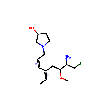 C/C=C(\C=C/CN1CCC(O)C1)CC(OC)C(N)CF